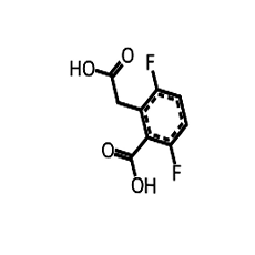 O=C(O)Cc1c(F)ccc(F)c1C(=O)O